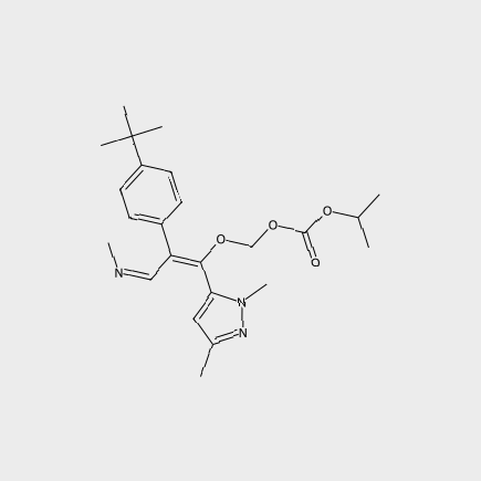 C/N=C\C(=C(\OCOC(=O)OC(C)C)c1cc(C)nn1C)c1ccc(C(C)(C)C)cc1